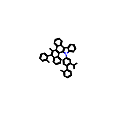 Cc1ccccc1-c1ccc(-n2c3ccccc3c3c4ccccc4c4c(C)c(-c5ccccc5C)c5ccccc5c4c32)cc1C(C)C